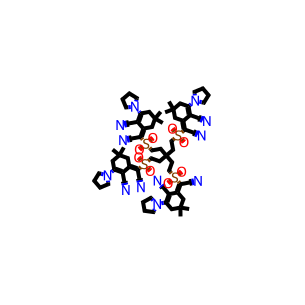 CC1(C)CC(N2CCCC2)=C(C#N)/C(=C(/C#N)S(=O)(=O)CCC(CCS(=O)(=O)/C(C#N)=C2\CC(C)(C)CC(N3CCCC3)=C2C#N)(CCS(=O)(=O)/C(C#N)=C2\CC(C)(C)CC(N3CCCC3)=C2C#N)CCS(=O)(=O)/C(C#N)=C2\CC(C)(C)CC(N3CCCC3)=C2C#N)C1